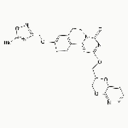 CC(C)(C)c1nc(COc2ccc3c(c2)CCn2c-3cc(OCC3COc4ncccc4O3)nc2=O)no1